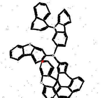 c1ccc2c(c1)Oc1ccccc1C21c2cc(N(c3ccc4c(c3)sc3ccccc34)c3ccc4c5ccccc5n(-c5cccc6ccccc56)c4c3)ccc2-c2cccc3cccc1c23